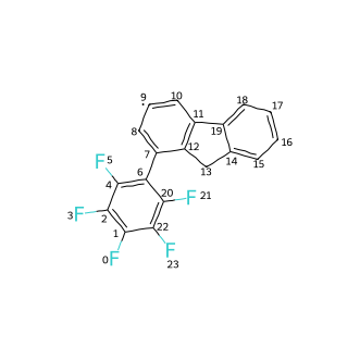 Fc1c(F)c(F)c(-c2c[c]cc3c2Cc2ccccc2-3)c(F)c1F